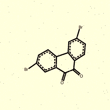 O=C1C(=O)c2ccc(Br)cc2-c2ccc(Br)cc21